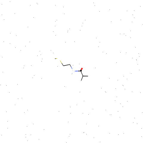 CSCCN(S)C(=O)C(C)C